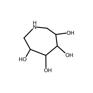 OC1CNCC(O)C(O)C1O